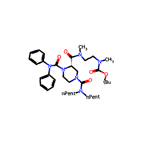 CCCCCN(CCCCC)C(=O)N1CCN(C(=O)N(c2ccccc2)c2ccccc2)[C@H](C(=O)N(C)CCN(C)C(=O)OC(C)(C)C)C1